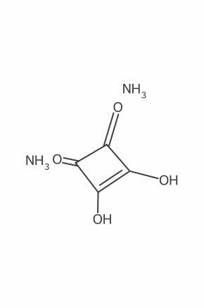 N.N.O=c1c(O)c(O)c1=O